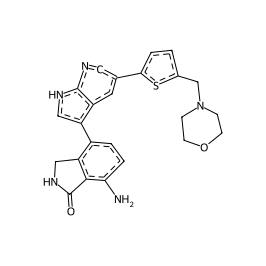 Nc1ccc(-c2c[nH]c3ncc(-c4ccc(CN5CCOCC5)s4)cc23)c2c1C(=O)NC2